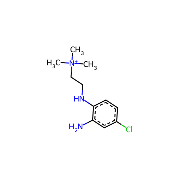 C[N+](C)(C)CCNc1ccc(Cl)cc1N